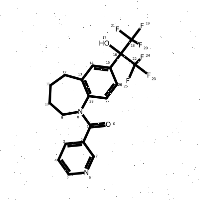 O=C(c1cccnc1)N1CCCCc2cc(C(O)(C(F)(F)F)C(F)(F)F)ccc21